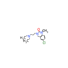 CCN(CC)CCCN1Cc2cc(Cl)ccc2N(C)C1=O